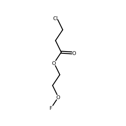 O=C(CCCl)OCCOF